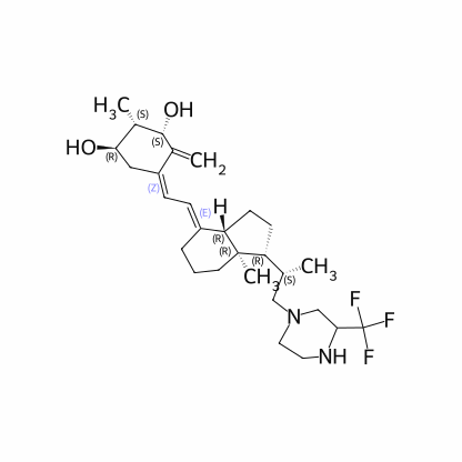 C=C1/C(=C\C=C2/CCC[C@]3(C)[C@@H]([C@H](C)CN4CCNC(C(F)(F)F)C4)CC[C@@H]23)C[C@@H](O)[C@H](C)[C@@H]1O